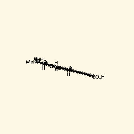 CN[C@@H](CCCCNC(=O)COCCOCCNC(=O)COCCOCCNC(=O)CCCCCCCCCCCCCCCCC(=O)O)C(N)=O